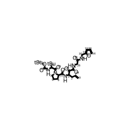 C=CCC(NC(=O)C1CCCN1C(=O)C(NC(=O)OC(C)(C)C)C(C)(C)C)C(=O)C(=O)NCC(=O)NCc1ccco1